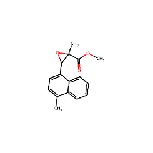 COC(=O)C1(C)OC1c1ccc(C)c2ccccc12